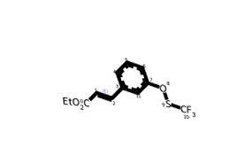 CCOC(=O)/C=C/c1cccc(OSC(F)(F)F)c1